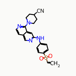 C=CS(=O)(=O)c1ccc(Nc2cc3c(N4CCC(C#N)CC4)nccc3cn2)cc1